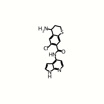 NC1CCSc2cc(C(=O)Nc3ccnc4[nH]ccc34)c(Cl)cc21